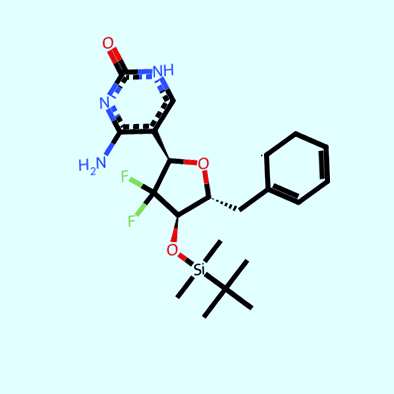 CC(C)(C)[Si](C)(C)O[C@@H]1[C@@H](CC2=CC=CC[CH]2)O[C@H](c2c[nH]c(=O)nc2N)C1(F)F